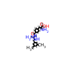 Cc1cc(C)cc(CN/C(N)=N/C(=O)c2ccc(C[C@H](N)C(=O)O)cc2)c1